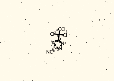 N#Cn1nnc(C(Cl)(Cl)C(Cl)(Cl)Cl)n1